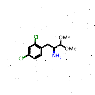 COC(OC)C(N)Cc1ccc(Cl)cc1Cl